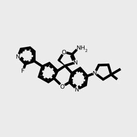 CC1(C)CCN(c2cnc3c(c2)[C@]2(COC(N)=N2)c2cc(-c4cccnc4F)ccc2O3)C1